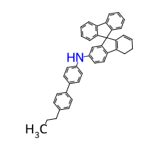 CCCc1ccc(-c2ccc(Nc3ccc4c(c3)C3(C5=C4CCC=C5)c4ccccc4-c4ccccc43)cc2)cc1